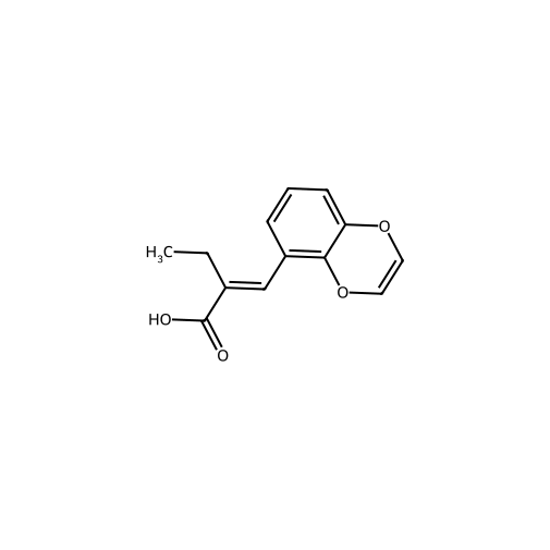 CC/C(=C\c1cccc2c1OC=CO2)C(=O)O